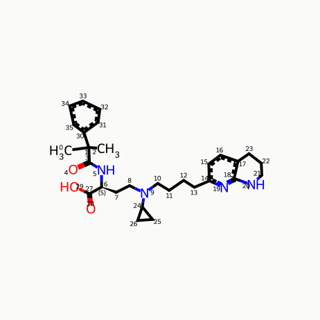 CC(C)(C(=O)N[C@@H](CCN(CCCCc1ccc2c(n1)NCCC2)C1CC1)C(=O)O)c1ccccc1